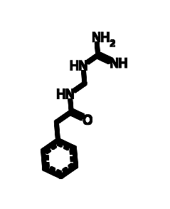 N=C(N)NCNC(=O)Cc1ccccc1